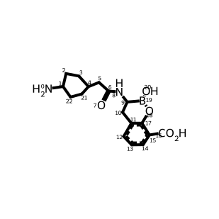 NC1CCC(CC(=O)NC2Cc3cccc(C(=O)O)c3OB2O)CC1